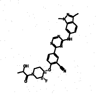 Cc1nn(C)c2cc(Nc3ncnc(-c4ccc(O[C@H]5CCN(C(=O)C(C)O)C[C@H]5F)c(C#N)c4)n3)ccc12